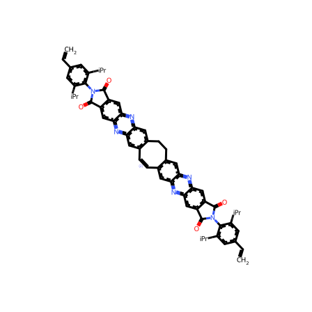 C=Cc1cc(C(C)C)c(N2C(=O)c3cc4nc5cc6c(cc5nc4cc3C2=O)CCc2cc3nc4cc5c(cc4nc3cc2/C=C\6)C(=O)N(c2c(C(C)C)cc(C=C)cc2C(C)C)C5=O)c(C(C)C)c1